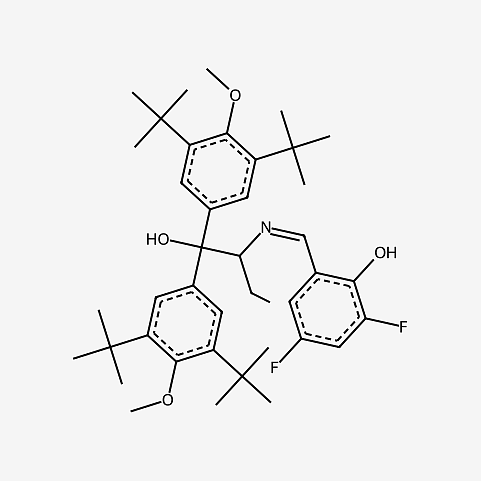 CCC(N=Cc1cc(F)cc(F)c1O)C(O)(c1cc(C(C)(C)C)c(OC)c(C(C)(C)C)c1)c1cc(C(C)(C)C)c(OC)c(C(C)(C)C)c1